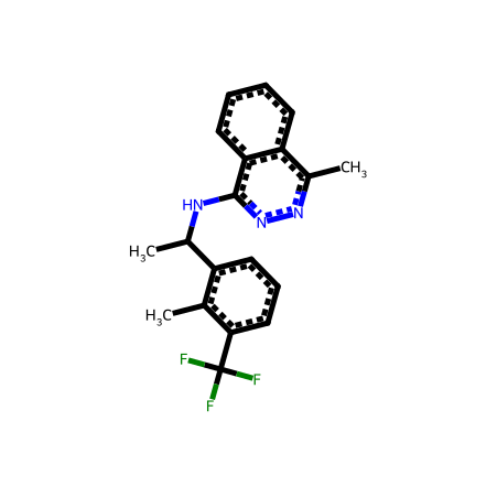 Cc1c(C(C)Nc2nnc(C)c3ccccc23)cccc1C(F)(F)F